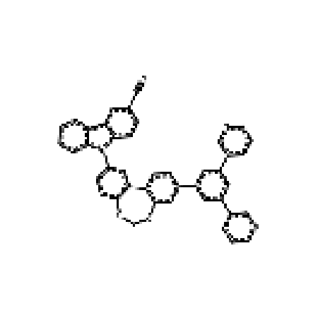 N#Cc1ccc2c(c1)c1ccccc1n2-c1ccc2c(c1)-c1ccc(-c3cc(-c4cccnc4)cc(-c4cccnc4)c3)cc1OCO2